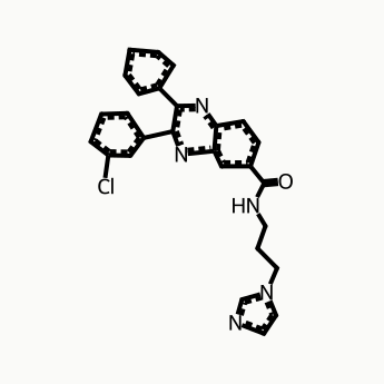 O=C(NCCCn1ccnc1)c1ccc2nc(-c3ccccc3)c(-c3cccc(Cl)c3)nc2c1